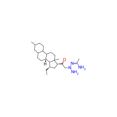 CC[C@@H]1C[C@H](C(=O)CN(N)/N=C(/C)N)C2(C)CCC3C4CCC(C)CC4CC[C@H]3C12